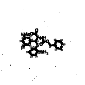 COC(=O)[C@@H](NC(=O)OCc1ccccc1)C(Sc1ccccc1N)c1cc(F)cc(F)c1